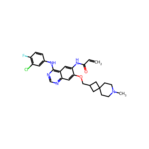 C=CC(=O)Nc1cc2c(Nc3ccc(F)c(Cl)c3)ncnc2cc1OCC1CC2(CCN(C)CC2)C1